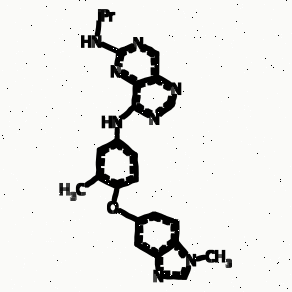 Cc1cc(Nc2ncnc3cnc(NC(C)C)nc23)ccc1Oc1ccc2c(c1)ncn2C